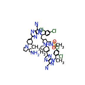 CC1CC(c2cnc3c(C#N)nn(C(CC4CC(CNS(C)(=O)=O)N(C5CC=C(c6cnc7c(C#N)nn(C(C)c8ccc(Cl)cc8Cl)c7n6)CC5C)C4)c4ccc(Cl)cc4Cl)c3n2)=CCC1N1CCCC1CN